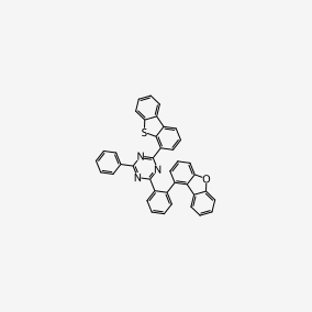 c1ccc(-c2nc(-c3ccccc3-c3cccc4oc5ccccc5c34)nc(-c3cccc4c3sc3ccccc34)n2)cc1